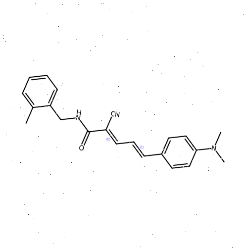 Cc1ccccc1CNC(=O)/C(C#N)=C/C=C/c1ccc(N(C)C)cc1